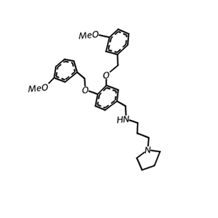 COc1cccc(COc2ccc(CNCCCN3CCCC3)cc2OCc2cccc(OC)c2)c1